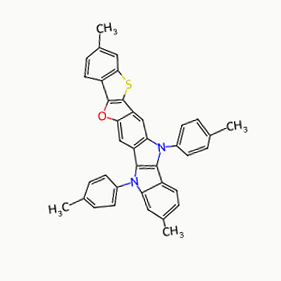 Cc1ccc(-n2c3cc(C)ccc3c3c2c2cc4oc5c6ccc(C)cc6sc5c4cc2n3-c2ccc(C)cc2)cc1